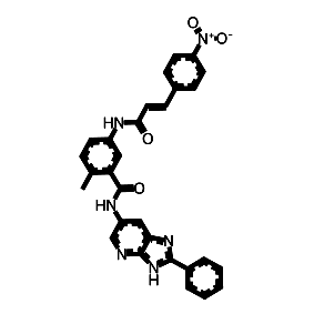 Cc1ccc(NC(=O)C=Cc2ccc([N+](=O)[O-])cc2)cc1C(=O)Nc1cnc2[nH]c(-c3ccccc3)nc2c1